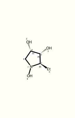 CC[C@@H]1[C@@H](O)[C@@H](O)CN1O